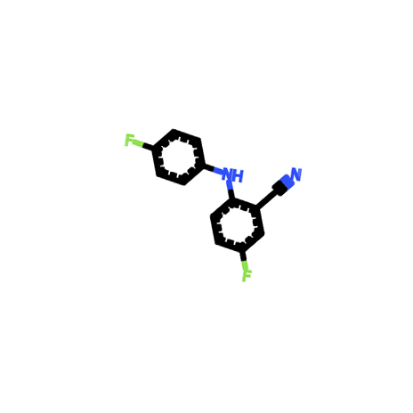 N#Cc1cc(F)ccc1Nc1ccc(F)cc1